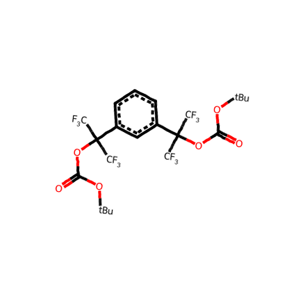 CC(C)(C)OC(=O)OC(c1cccc(C(OC(=O)OC(C)(C)C)(C(F)(F)F)C(F)(F)F)c1)(C(F)(F)F)C(F)(F)F